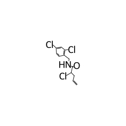 C=CCC(Cl)C(=O)NCc1ccc(Cl)cc1Cl